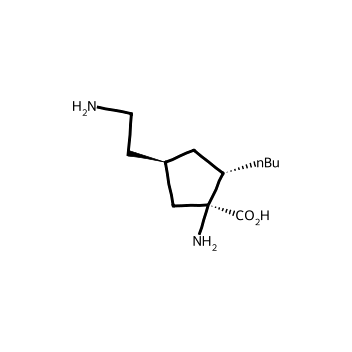 CCCC[C@H]1C[C@H](CCN)C[C@@]1(N)C(=O)O